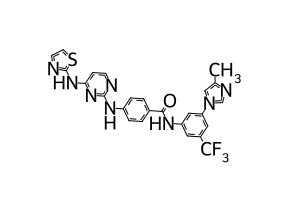 Cc1cn(-c2cc(NC(=O)c3ccc(Nc4nccc(Nc5nccs5)n4)cc3)cc(C(F)(F)F)c2)cn1